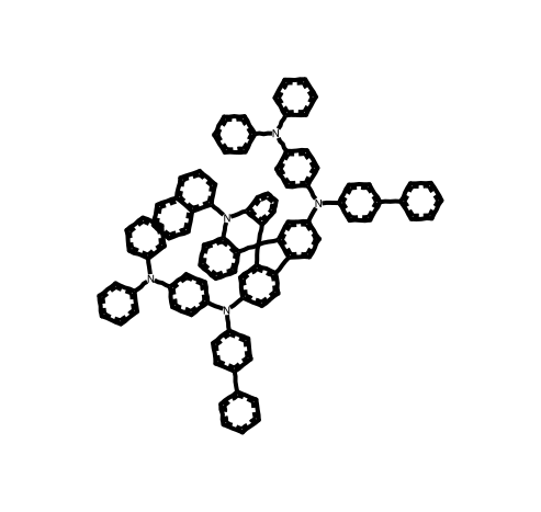 c1ccc(-c2ccc(N(c3ccc(N(c4ccccc4)c4ccccc4)cc3)c3ccc4c(c3)C3(c5cc(N(c6ccc(-c7ccccc7)cc6)c6ccc(N(c7ccccc7)c7ccccc7)cc6)ccc5-4)c4ccccc4N(c4cccc5ccccc45)c4ccccc43)cc2)cc1